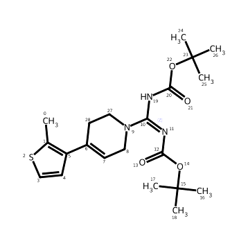 Cc1sccc1C1=CCN(/C(=N\C(=O)OC(C)(C)C)NC(=O)OC(C)(C)C)CC1